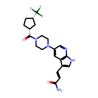 NC(=O)C=Cc1c[nH]c2ncc(N3CCN(C(=O)[C@@H]4CC[C@H](C(F)(F)F)C4)CC3)cc12